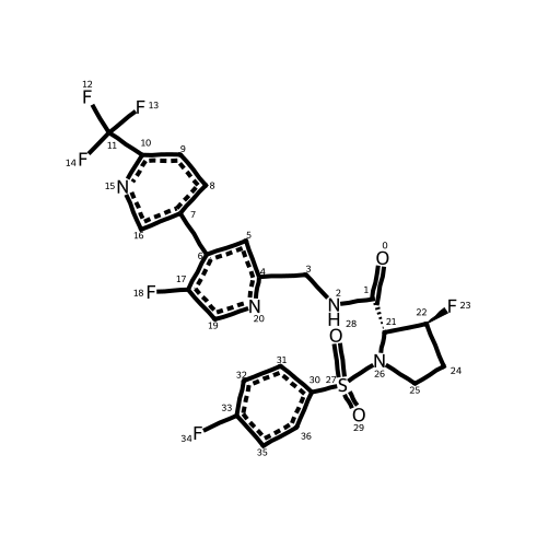 O=C(NCc1cc(-c2ccc(C(F)(F)F)nc2)c(F)cn1)[C@@H]1[C@@H](F)CCN1S(=O)(=O)c1ccc(F)cc1